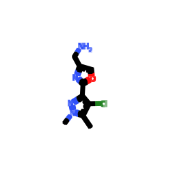 Cc1c(Cl)c(-c2nc(CN)co2)nn1C